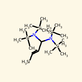 C[Si](C)(C)N(C(C=C[SiH3])N([Si](C)(C)C)[Si](C)(C)C)[Si](C)(C)C